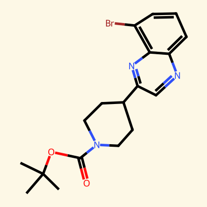 CC(C)(C)OC(=O)N1CCC(c2cnc3cccc(Br)c3n2)CC1